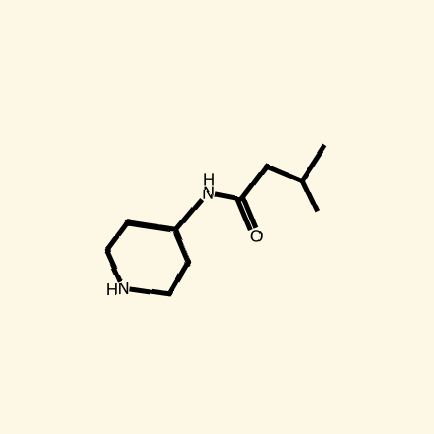 CC(C)CC(=O)NC1CCNCC1